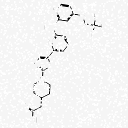 O=C(O)CC1CCN(c2ncc(-c3cccc(Nc4cc(OCC(F)(F)F)ccn4)n3)s2)CC1